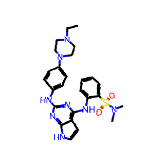 CCN1CCN(c2ccc(Nc3nc(Nc4ccccc4S(=O)(=O)N(C)C)c4cc[nH]c4n3)cc2)CC1